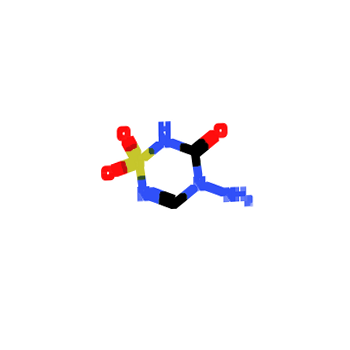 NN1C=NS(=O)(=O)NC1=O